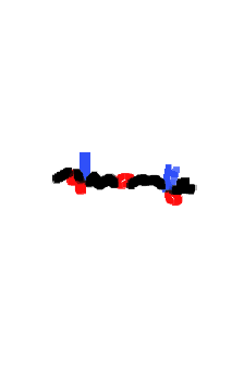 CCOCC(=O)NCCCCCOCCCCCNC(=O)C(C)C